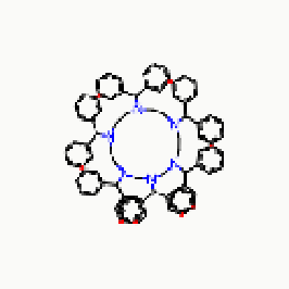 c1ccc(C(c2ccccc2)N2CCN(C(c3ccccc3)c3ccccc3)CCN(C(c3ccccc3)c3ccccc3)CN(C(c3ccccc3)c3ccccc3)CN(C(c3ccccc3)c3ccccc3)CCN(C(c3ccccc3)c3ccccc3)CC2)cc1